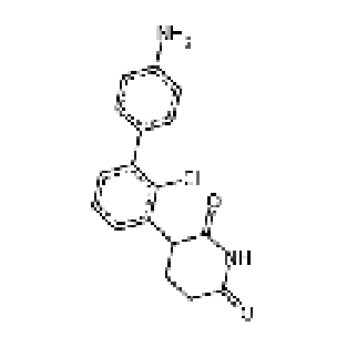 Nc1ccc(-c2cccc(C3CCC(=O)NC3=O)c2Cl)cc1